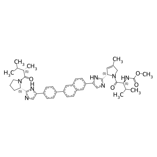 COC(=O)N[C@H](C(=O)N1CC(C)=C[C@H]1c1ncc(-c2ccc3cc(-c4ccc(-c5cnc([C@@H]6CCCN6C(=O)[C@@H](C)C(C)C)[nH]5)cc4)ccc3c2)[nH]1)C(C)C